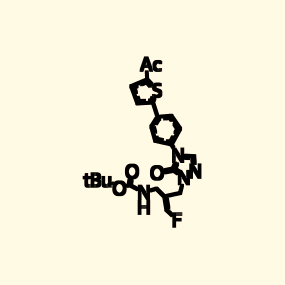 CC(=O)c1ccc(-c2ccc(-n3cnn(C/C(=C\F)CNC(=O)OC(C)(C)C)c3=O)cc2)s1